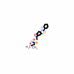 CC1(C)CC(S(=O)(=O)Cc2noc3cc(NC(=O)c4ccccc4)c(F)cc23)=NO1